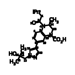 CC(C)CC(=O)N1c2ccc(-c3cnn(CC(C)(C)O)c3)cc2N(C(=O)O)C[C@@H]1C